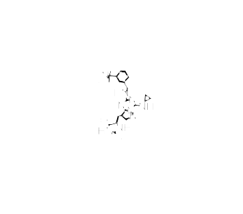 CC(C)(N)c1cccc(CNc2nc(NC3CC3)n3ncc(/C=C4\NC(=O)NC4=O)c3n2)c1